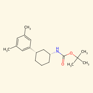 Cc1cc(C)cc([C@H]2CCC[C@@H](NC(=O)OC(C)(C)C)C2)c1